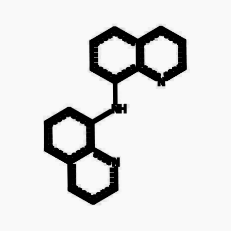 c1cnc2c(Nc3cccc4cccnc34)cccc2c1